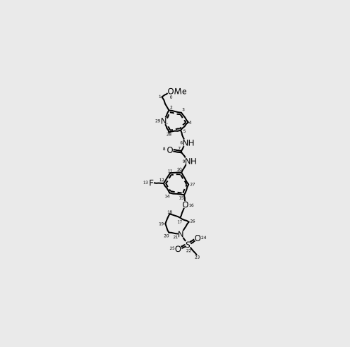 COCc1ccc(NC(=O)Nc2cc(F)cc(OC3CCCN(S(C)(=O)=O)C3)c2)cn1